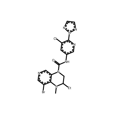 CCC1CN(C(=O)Nc2cnc(-n3nccn3)c(Cl)c2)c2cncc(Br)c2N1C